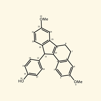 COc1ccc2c(c1)CCC1=C2C(c2ccc(O)cc2)c2ccc(OC)cc21